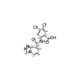 O=C(O)c1cc(Cl)c(Cl)cc1NC(=O)c1cccn2cnnc12